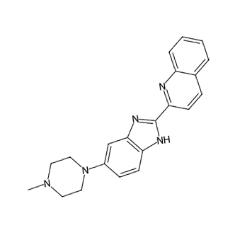 CN1CCN(c2ccc3[nH]c(-c4ccc5ccccc5n4)nc3c2)CC1